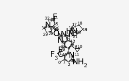 Cc1cc(N)nc(-c2c(C3CC3)cc3c(N4CC5CCC(C4)N5)nc(OC[C@@]45CCCN4C[C@H](F)C5)nc3c2F)c1C(F)(F)F